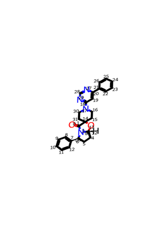 O=C1N2[C@@H](CC[C@H]2c2ccccc2)OC12CCN(c1cc(-c3ccccc3)ncn1)CC2